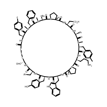 CCCC[C@H]1C(=O)N2CCC[C@@H]2C(=O)N[C@@H](CC(=O)O)C(=O)N[C@@H](C(C)C)C(=O)N(C)[C@@H](Cc2ccc(C)cc2)C(=O)N[C@@H](CCCN)C(=O)N2CCC[C@@H]2C(=O)N[C@@H](Cc2c[nH]c3ccccc23)C(=O)N[C@@H](Cc2ccc(O)cc2)C(=O)N[C@@H](CC(C)C)C(=O)N[C@H](C=O)CSCC(=O)N[C@@H](Cc2ccc(F)cc2)C(=O)N(C)[C@@H](Cc2ccccc2)C(=O)N1C